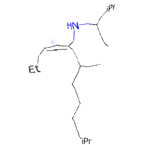 CC/C=C(/NC(C)C(C)C)C(C)CCCC(C)C